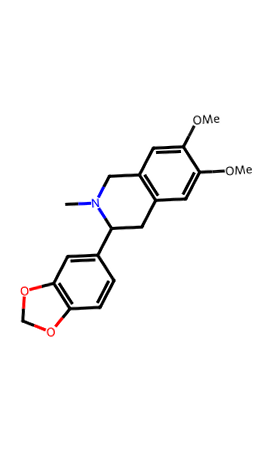 COc1cc2c(cc1OC)CN(C)C(c1ccc3c(c1)OCO3)C2